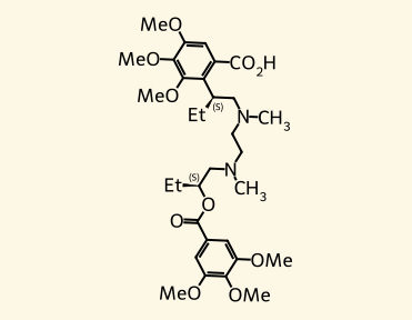 CC[C@@H](CN(C)CCN(C)C[C@@H](CC)c1c(C(=O)O)cc(OC)c(OC)c1OC)OC(=O)c1cc(OC)c(OC)c(OC)c1